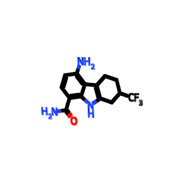 NC(=O)c1ccc(N)c2c3c([nH]c12)CC(C(F)(F)F)CC3